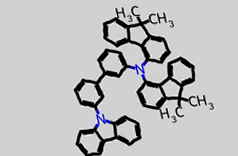 CC1(C)c2ccccc2-c2c(N(c3cccc(-c4cccc(-n5c6ccccc6c6ccccc65)c4)c3)c3cccc4c3-c3ccccc3C4(C)C)cccc21